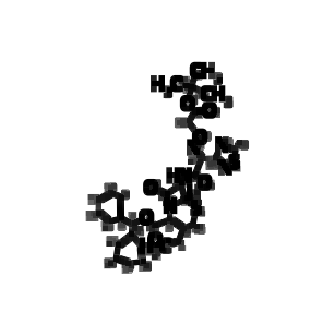 C=CC1=C(C(=O)OC(c2ccccc2)c2ccccc2)N2C(=O)C(NC(=O)C(=NOCC(=O)OC(C)(C)C)c3ncsn3)[C@@H]2SC1